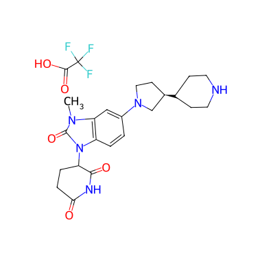 Cn1c(=O)n(C2CCC(=O)NC2=O)c2ccc(N3CC[C@@H](C4CCNCC4)C3)cc21.O=C(O)C(F)(F)F